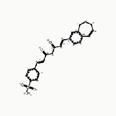 CS(=O)(=O)c1ccc(/C=C/C(=O)CC(=O)/C=C/c2ccc3c(c2)CCCC=C3)cc1